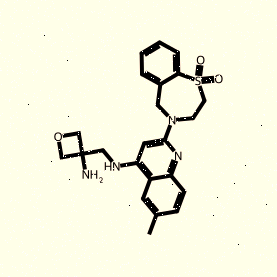 Cc1ccc2nc(N3CCS(=O)(=O)c4ccccc4C3)cc(NCC3(N)COC3)c2c1